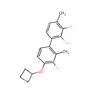 Bc1c(-c2ccc(OC3CCC3)c(F)c2C)ccc(C)c1F